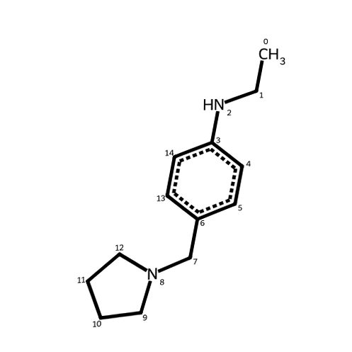 CCNc1ccc(CN2CCCC2)cc1